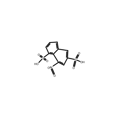 O=[N+]([O-])c1cc(S(=O)(=O)O)cc2cccc(S(=O)(=O)O)c12